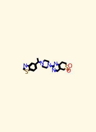 CC(c1ccc2scnc2c1)N1CCN(c2ncc3c(n2)CCS(=O)(=O)C3)CC1